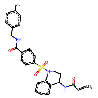 C=CC(=O)NC1CCN(S(=O)(=O)c2ccc(C(=O)NCc3ccc(C(F)(F)F)cc3)cc2)c2ccccc21